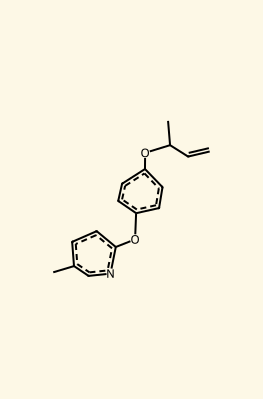 C=CC(C)Oc1ccc(Oc2ccc(C)cn2)cc1